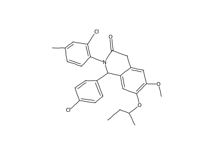 CCC(C)Oc1cc2c(cc1OC)CC(=O)N(c1ccc(C)cc1Cl)C2c1ccc(Cl)cc1